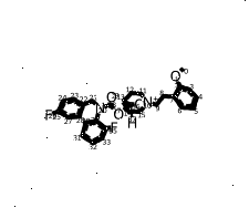 COc1ccccc1CC[N+]12CCC(CC1)[C@@H](OC(=O)N(Cc1ccc(F)cc1)c1ccccc1F)C2